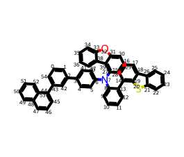 c1cc(-c2ccc(N(c3ccccc3-c3cccc4c3sc3ccccc34)c3cccc4oc5ccccc5c34)cc2)cc(-c2cccc3ccccc23)c1